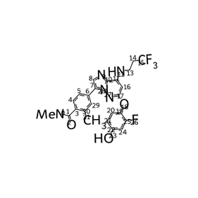 CNC(=O)c1ccc(-c2cnc3c(NCCC(F)(F)F)cc(Oc4ccc(O)cc4F)nn23)cc1C